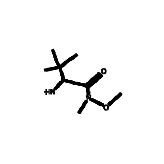 CON(C)C(=O)C([NH])C(C)(C)C